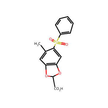 Cc1cc2c(cc1S(=O)(=O)c1ccccc1)OC(C(=O)O)O2